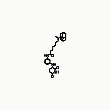 CN(CCCCCCC(=O)Nc1cccc(NC2CCC(=O)NC2=O)c1)C12CC3CC(CC(C3)C1)C2